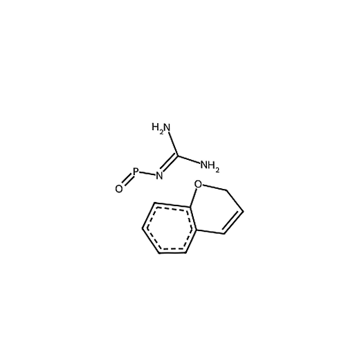 C1=Cc2ccccc2OC1.NC(N)=NP=O